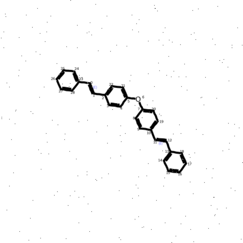 C(=C\c1ccc(Oc2ccc(/C=C/c3ccccc3)cc2)cc1)/c1ccccc1